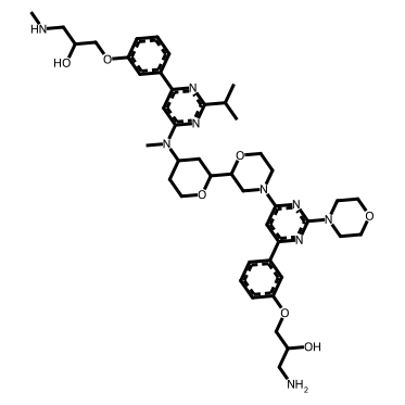 CNCC(O)COc1cccc(-c2cc(N(C)C3CCOC(C4CN(c5cc(-c6cccc(OCC(O)CN)c6)nc(N6CCOCC6)n5)CCO4)C3)nc(C(C)C)n2)c1